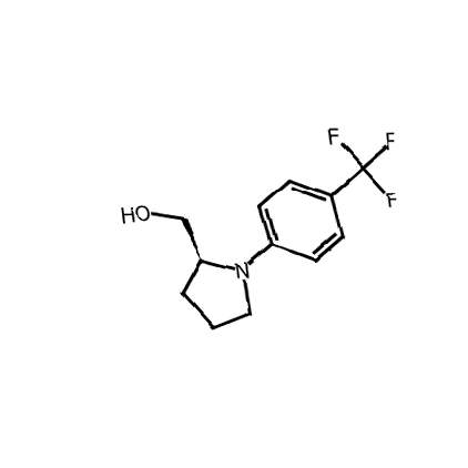 OC[C@@H]1CCCN1c1ccc(C(F)(F)F)cc1